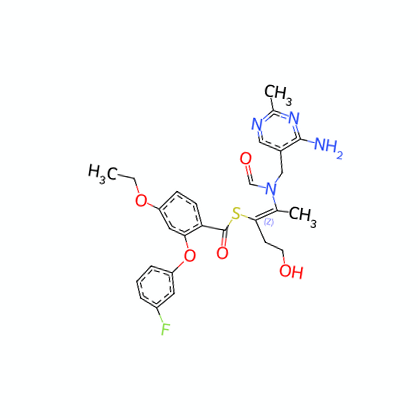 CCOc1ccc(C(=O)S/C(CCO)=C(/C)N(C=O)Cc2cnc(C)nc2N)c(Oc2cccc(F)c2)c1